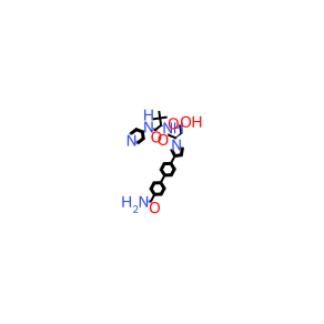 CC(C)(C)[C@H](NC(=O)[C@@H](CC(=O)O)n1ccc(-c2ccc(-c3ccc(C(N)=O)cc3)cc2)c1)C(=O)Nc1ccncc1